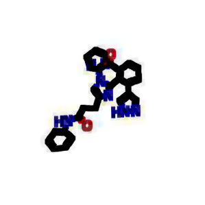 NC(=O)c1cccc(-c2cn[nH]c2)c1-c1nc(CCC(=O)Nc2ccccc2)cn1-c1ccccc1